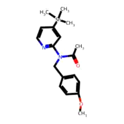 COc1ccc(CN(C(C)=O)c2c[c]([Sn]([CH3])([CH3])[CH3])ccn2)cc1